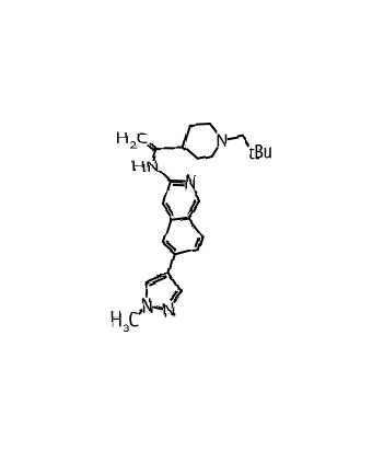 C=C(Nc1cc2cc(-c3cnn(C)c3)ccc2cn1)C1CCN(CC(C)(C)C)CC1